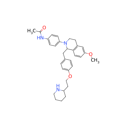 COc1ccc2c(c1)CCN(c1ccc(NC(C)=O)cc1)C2Cc1ccc(OCCC2CCCCN2)cc1